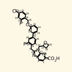 O=C(O)c1ccc2nc(Cc3ccc(-c4cccc(OCc5ccc(Cl)cc5F)n4)cc3F)n(CC3CCO3)c2n1